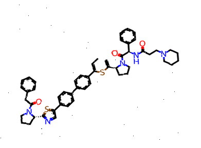 C=C(S/C(=C\C)c1ccc(-c2ccc(-c3cnc([C@@H]4CCCN4C(=O)Cc4ccccc4)s3)cc2)cc1)[C@@H]1CCCN1C(=O)[C@H](NC(=O)CCN1CCCCC1)c1ccccc1